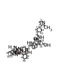 Cc1ncsc1-c1ccc(CNC(=O)[C@@H]2C[C@@H](O)CN2C(=O)[C@@H](NC(=O)CCN2CCC(c3cnc(N4C5CCC4CN(c4cc(-c6ccccc6O)nnc4N)C5)nc3)CC2)C(C)(C)C)cc1